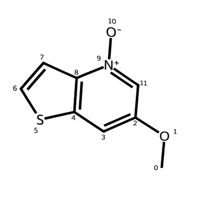 COc1cc2sccc2[n+]([O-])c1